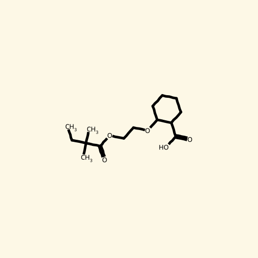 CCC(C)(C)C(=O)OCCOC1CCCCC1C(=O)O